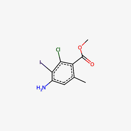 COC(=O)c1c(C)cc(N)c(I)c1Cl